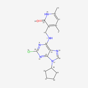 Cc1cc(C)c(CNc2nc(Cl)nc3c2ncn3C2CCCC2)c(=O)[nH]1